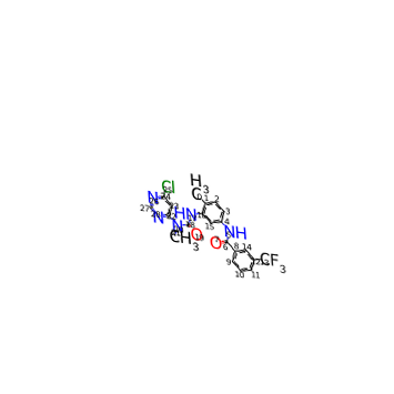 Cc1ccc(NC(=O)c2cccc(C(F)(F)F)c2)cc1NC(=O)N(C)c1cc(Cl)ncn1